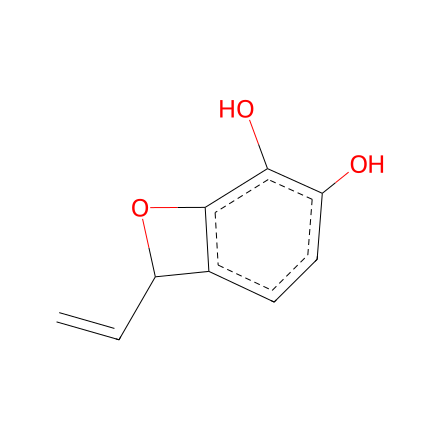 C=CC1Oc2c1ccc(O)c2O